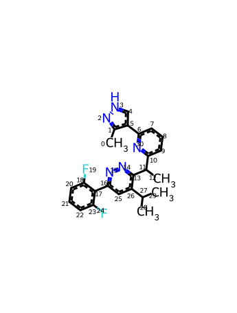 Cc1n[nH]cc1-c1cccc(C(C)c2nnc(-c3c(F)cccc3F)cc2C(C)C)n1